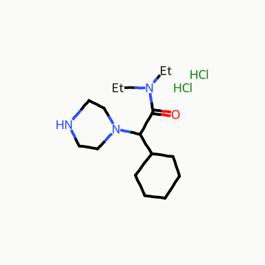 CCN(CC)C(=O)C(C1CCCCC1)N1CCNCC1.Cl.Cl